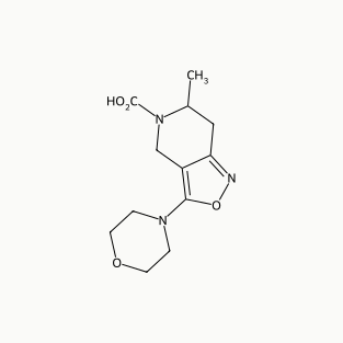 CC1Cc2noc(N3CCOCC3)c2CN1C(=O)O